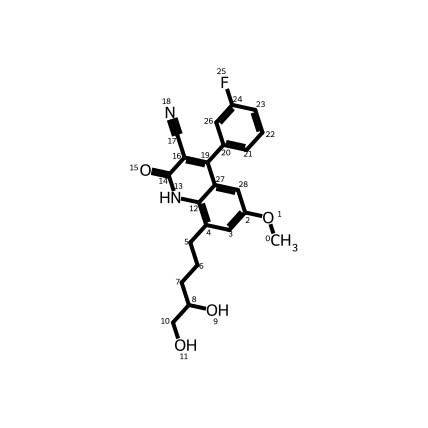 COc1cc(CCCC(O)CO)c2[nH]c(=O)c(C#N)c(-c3cccc(F)c3)c2c1